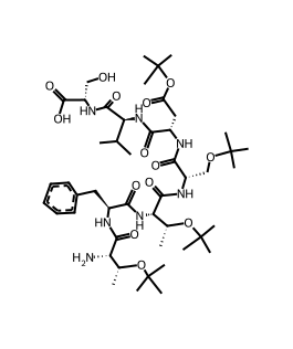 CC(C)[C@H](NC(=O)[C@H](CC(=O)OC(C)(C)C)NC(=O)[C@H](COC(C)(C)C)NC(=O)[C@@H](NC(=O)[C@H](Cc1ccccc1)NC(=O)[C@@H](N)[C@@H](C)OC(C)(C)C)[C@@H](C)OC(C)(C)C)C(=O)N[C@@H](CO)C(=O)O